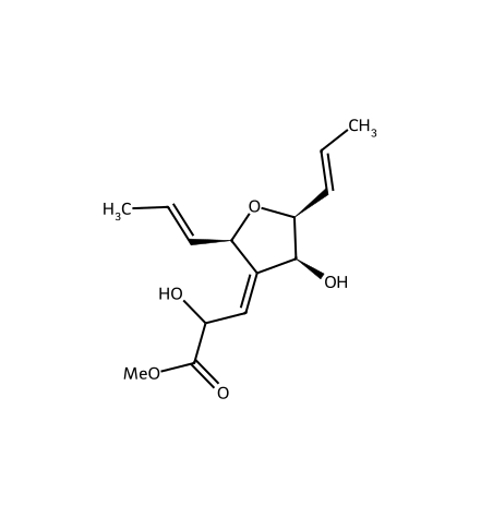 C/C=C/[C@@H]1O[C@H](/C=C/C)/C(=C\C(O)C(=O)OC)[C@@H]1O